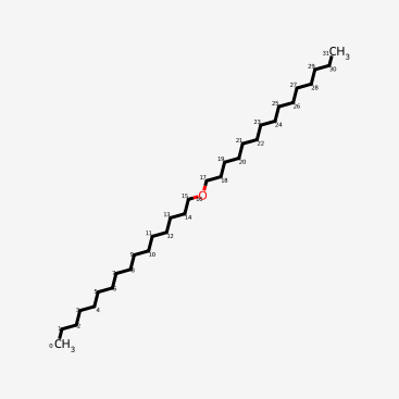 CCCCCCCCCCCCCCCCOCCCCCCCCCCCCCCC